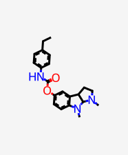 CCc1ccc(NC(=O)Oc2ccc3c(c2)C2CCN(C)C2N3C)cc1